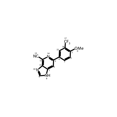 COc1ccc(-c2cc3[nH]cnc3c(C#N)n2)cc1C(F)(F)F